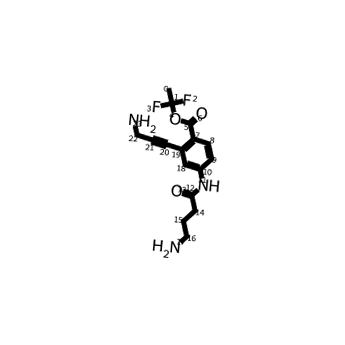 CC(F)(F)OC(=O)c1ccc(NC(=O)CCCN)cc1C#CCN